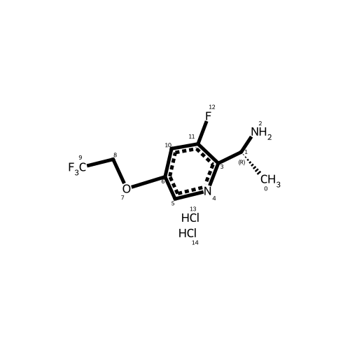 C[C@@H](N)c1ncc(OCC(F)(F)F)cc1F.Cl.Cl